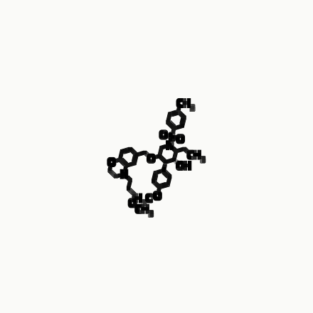 CCC1[C@H](O)[C@@H](c2ccc(OC)cc2)C(OCc2ccc3c(c2)N(CCCOC)CCO3)CN1S(=O)(=O)c1ccc(C)cc1